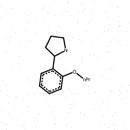 CCCOc1ccccc1C1CCC[N]1